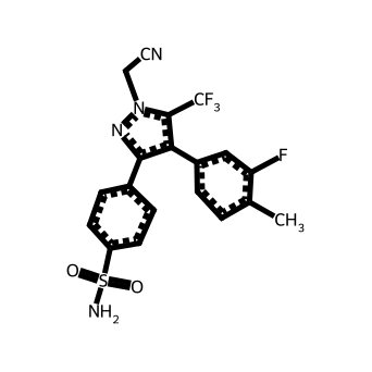 Cc1ccc(-c2c(-c3ccc(S(N)(=O)=O)cc3)nn(CC#N)c2C(F)(F)F)cc1F